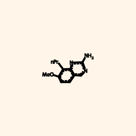 CCCc1c(OC)ccc2cnc(N)nc12